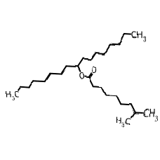 CCCCCCCCC(CCCCCCCC)OC(=O)CCCCCCC(C)C